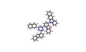 c1ccc2cc(-c3nc(-c4cccc5c4sc4ccccc45)nc(-c4ccc(-n5c6ccccc6c6cc7ccccc7cc65)c5oc6ccccc6c45)n3)ccc2c1